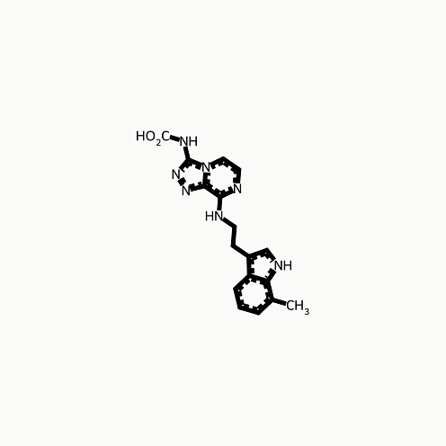 Cc1cccc2c(CCNc3nccn4c(NC(=O)O)nnc34)c[nH]c12